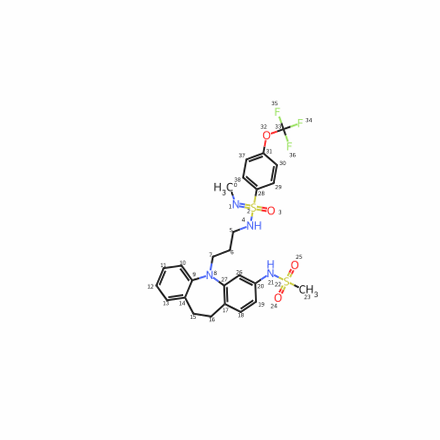 CN=S(=O)(NCCCN1c2ccccc2CCc2ccc(NS(C)(=O)=O)cc21)c1ccc(OC(F)(F)F)cc1